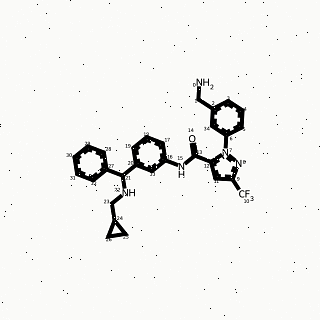 NCc1cccc(-n2nc(C(F)(F)F)cc2C(=O)Nc2cccc(C(NCC3CC3)c3ccccc3)c2)c1